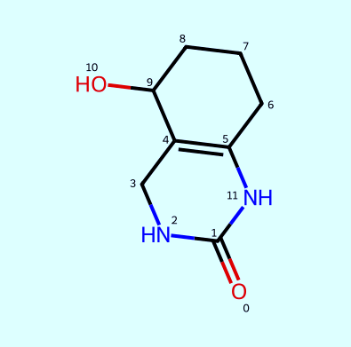 O=C1NCC2=C(CCCC2O)N1